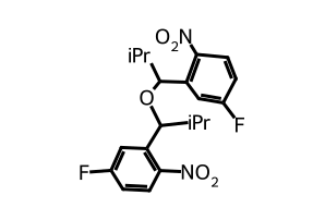 CC(C)C(OC(c1cc(F)ccc1[N+](=O)[O-])C(C)C)c1cc(F)ccc1[N+](=O)[O-]